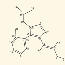 CC/C(C)=C(\C)c1ncn(CC(C)C)c1-c1ccccc1C